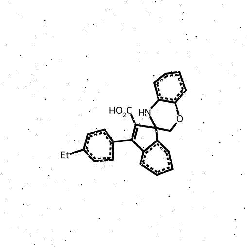 CCc1ccc(C2=C(C(=O)O)C3(COc4ccccc4N3)c3ccccc32)cc1